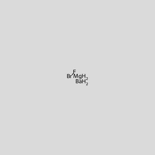 FBr.[BaH2].[MgH2]